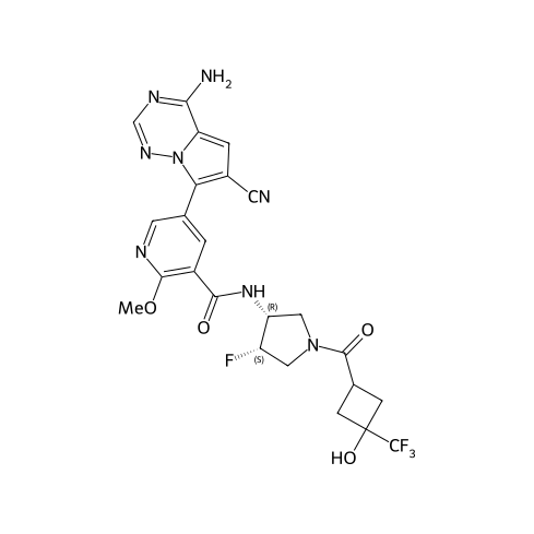 COc1ncc(-c2c(C#N)cc3c(N)ncnn23)cc1C(=O)N[C@@H]1CN(C(=O)C2CC(O)(C(F)(F)F)C2)C[C@@H]1F